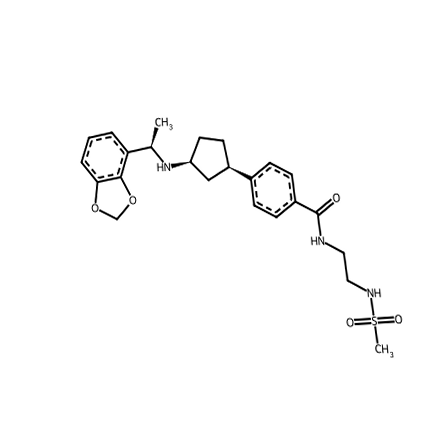 C[C@@H](N[C@H]1CC[C@@H](c2ccc(C(=O)NCCNS(C)(=O)=O)cc2)C1)c1cccc2c1OCO2